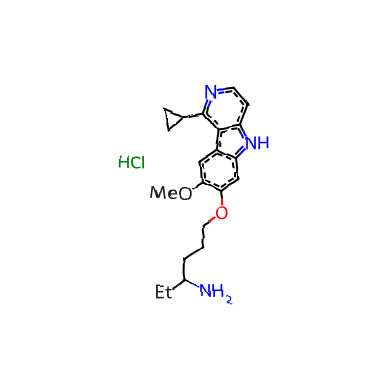 CCC(N)CCCOc1cc2[nH]c3ccnc(C4CC4)c3c2cc1OC.Cl